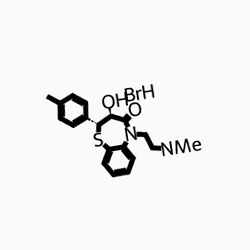 Br.CNCCN1C(=O)[C@@H](O)[C@@H](c2ccc(C)cc2)Sc2ccccc21